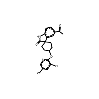 CC(=O)c1ccc2c(c1)C1(CCC(Oc3ncc(Cl)cc3Cl)CC1)C(=O)N2